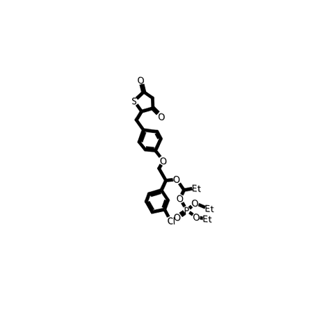 CCOP(=O)(OCC)OC(CC)OC(COc1ccc(CC2SC(=O)CC2=O)cc1)c1cccc(Cl)c1